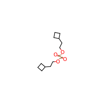 O=S(=O)(OCCC1CCC1)OCCC1CCC1